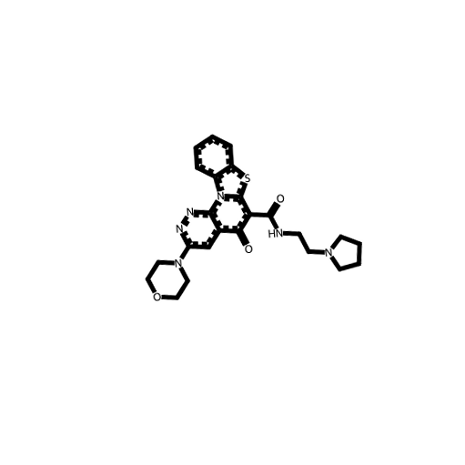 O=C(NCCN1CCCC1)c1c(=O)c2cc(N3CCOCC3)nnc2n2c1sc1ccccc12